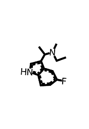 CCN(C)C(C)c1c[nH]c2ccc(F)cc12